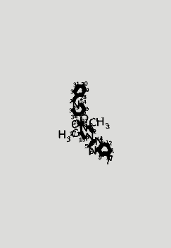 C[C@@H]1CN(c2cnc3cc(F)ccc3n2)C[C@@H](C)N1C(=O)OC1CCN(Cc2ccccc2)CC1